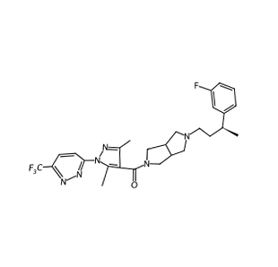 Cc1nn(-c2ccc(C(F)(F)F)nn2)c(C)c1C(=O)N1CC2CN(CC[C@H](C)c3cccc(F)c3)CC2C1